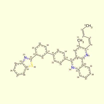 C/C=C\C=C/c1nc2c(cc1C)c(-c1ccc(-c3cccc(-c4nc5ccccc5s4)c3)cc1)nc1ccccc12